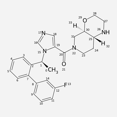 C[C@@H](c1ccccc1-c1cccc(F)c1)n1cncc1C(=O)N1CC[C@H]2NCCO[C@@H]2C1